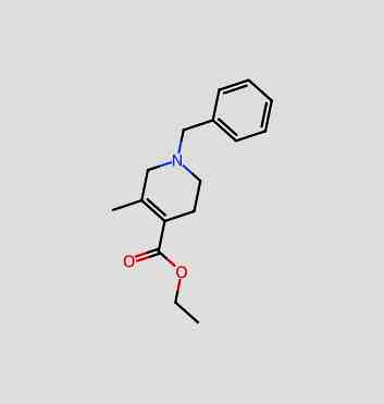 CCOC(=O)C1=C(C)CN(Cc2ccccc2)CC1